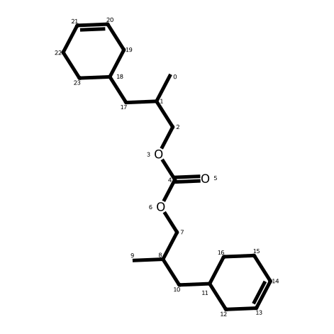 CC(COC(=O)OCC(C)CC1CC=CCC1)CC1CC=CCC1